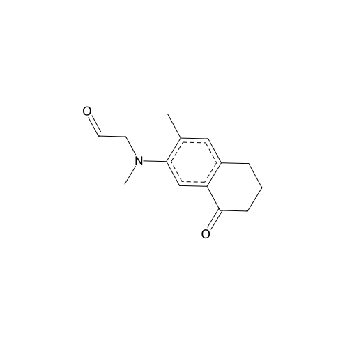 Cc1cc2c(cc1N(C)CC=O)C(=O)CCC2